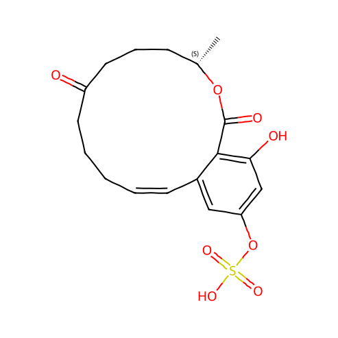 C[C@H]1CCCC(=O)CCCC=Cc2cc(OS(=O)(=O)O)cc(O)c2C(=O)O1